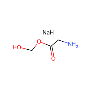 NCC(=O)OCO.[NaH]